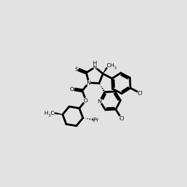 CC(C)[C@@H]1CC[C@@H](C)CC1OC(=O)N1C(=S)N[C@](C)(c2ccc(Cl)cc2)[C@@H]1c1ccc(Cl)cn1